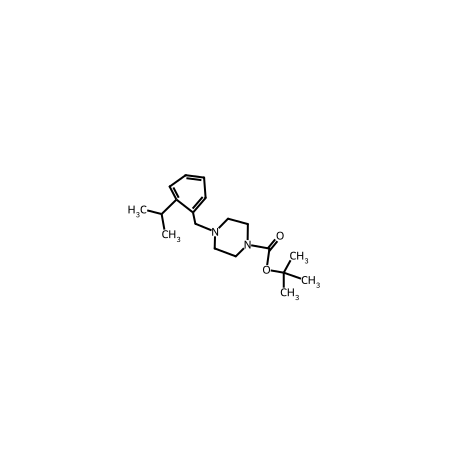 CC(C)c1ccccc1CN1CCN(C(=O)OC(C)(C)C)CC1